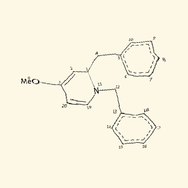 COC1=CC(Cc2ccccc2)N(Cc2ccccc2)C=C1